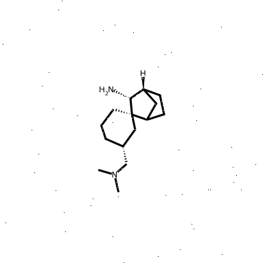 CN(C)C[C@@H]1CCC[C@@]2(C1)C1CC[C@H](C1)[C@H]2N